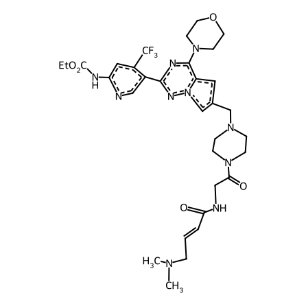 CCOC(=O)Nc1cc(C(F)(F)F)c(-c2nc(N3CCOCC3)c3cc(CN4CCN(C(=O)CNC(=O)/C=C/CN(C)C)CC4)cn3n2)cn1